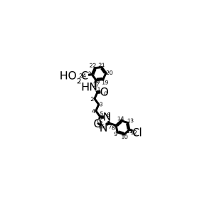 O=C(CCCc1nc(-c2ccc(Cl)cc2)no1)Nc1ccccc1C(=O)O